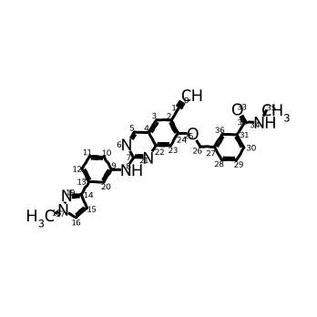 C#Cc1cc2cnc(Nc3cccc(-c4ccn(C)n4)c3)nc2cc1OCc1cccc(C(=O)NC)c1